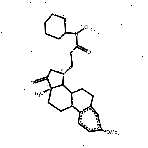 COc1ccc2c(c1)CCC1C2CC[C@]2(C)C(=O)C[C@@H](CCC(=O)N(C)C3CCCCC3)C12